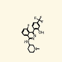 CN1CCCC(Nc2nnc(-c3ccc(C(F)(F)F)cc3O)c3c(F)cccc23)C1